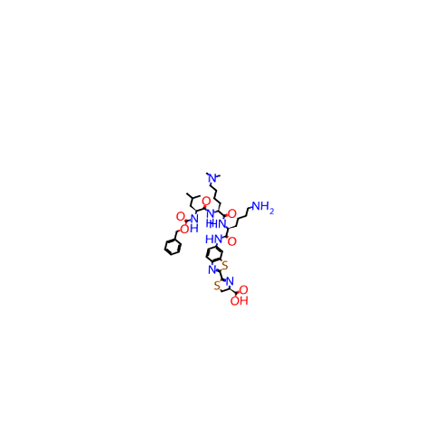 CC(C)C[C@H](NC(=O)OCc1ccccc1)C(=O)N[C@@H](CCCCN(C)C)C(=O)N[C@@H](CCCCN)C(=O)Nc1ccc2nc(C3=N[C@@H](C(=O)O)CS3)sc2c1